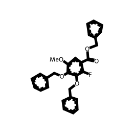 COc1cc(C(=O)OCc2ccccc2)c(F)c(OCc2ccccc2)c1OCc1ccccc1